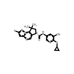 CC1(C)C[C@H](C(=O)Nc2cnc(OC3CC3)c(C#N)c2)c2cnc3cc(F)nn3c21